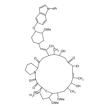 CCCn1ccc2cc(OC3CCC(C=C(C)C4CC(=O)C5CCCCN5C(=O)C(=O)C5(O)CC(C(OC)CC(C)C(O)/C(C)=C/C(CC)C(=O)CC(O)C4C)C(OC)CC5C)CC3OC)ccc21